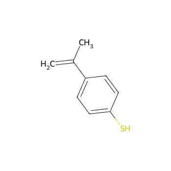 C=C(C)c1ccc(S)cc1